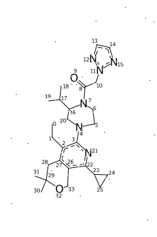 CCc1c(N2CCN(C(=O)Cn3nccn3)C(C(C)C)C2)nc(C2CC2)c2c1CC(C)(C)OC2